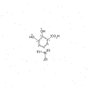 CCN(CC)CC.O=C(O)c1cccc(O)c1O